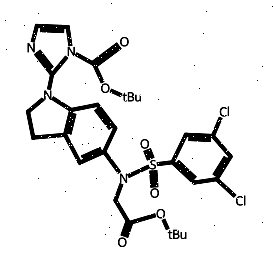 CC(C)(C)OC(=O)CN(c1ccc2c(c1)CCN2c1nccn1C(=O)OC(C)(C)C)S(=O)(=O)c1cc(Cl)cc(Cl)c1